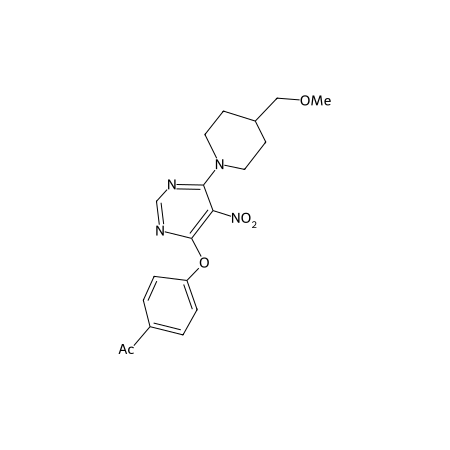 COCC1CCN(c2ncnc(Oc3ccc(C(C)=O)cc3)c2[N+](=O)[O-])CC1